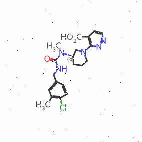 Cc1cc(CNC(=O)N(C)[C@@H]2CCCN(c3nnccc3C(=O)O)C2)ccc1Cl